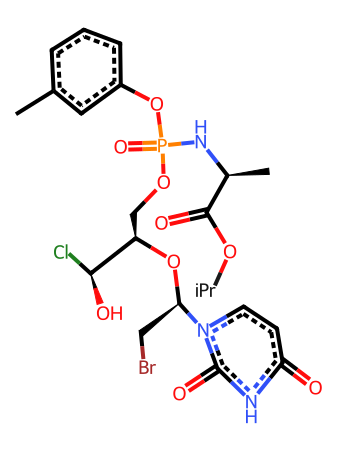 Cc1cccc(OP(=O)(N[C@@H](C)C(=O)OC(C)C)OC[C@@H](O[C@H](CBr)n2ccc(=O)[nH]c2=O)[C@@H](O)Cl)c1